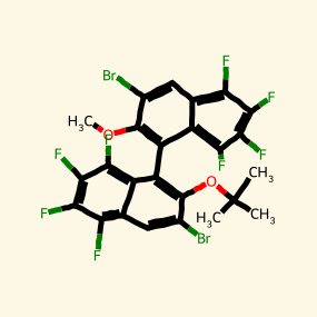 COc1c(Br)cc2c(F)c(F)c(F)c(F)c2c1-c1c(OC(C)(C)C)c(Br)cc2c(F)c(F)c(F)c(F)c12